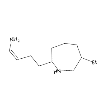 CCC1CCCC(CC/C=C\N)NC1